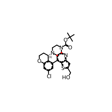 CC(C)(C)OC(=O)N1CCN([C@H]2CCOc3cc(Cl)cc(-c4ccnc5cc(CO)sc45)c32)CC1